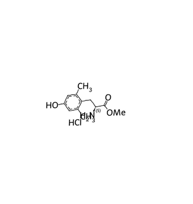 COC(=O)[C@@H](N)Cc1c(C)cc(O)cc1C.Cl